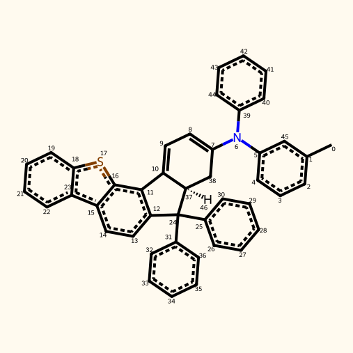 Cc1cccc(N(C2=CC=C3c4c(ccc5c4sc4ccccc45)C(c4ccccc4)(c4ccccc4)[C@@H]3C2)c2ccccc2)c1